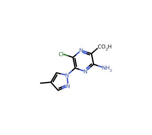 Cc1cnn(-c2nc(N)c(C(=O)O)nc2Cl)c1